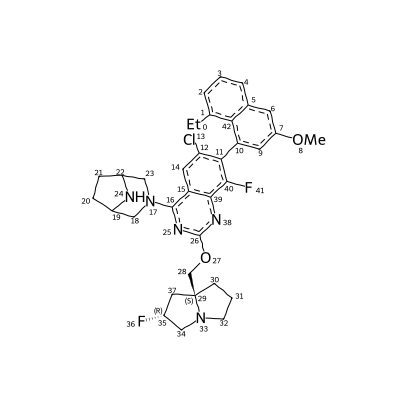 CCc1cccc2cc(OC)cc(-c3c(Cl)cc4c(N5CC6CCC(C5)N6)nc(OC[C@@]56CCCN5C[C@H](F)C6)nc4c3F)c12